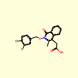 Cc1c(CC(=O)O)c2ccccc2c(=O)n1OCc1ccc(Cl)c(Cl)c1